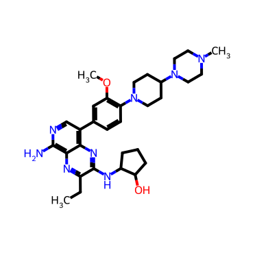 CCc1nc2c(N)ncc(-c3ccc(N4CCC(N5CCN(C)CC5)CC4)c(OC)c3)c2nc1NC1CCCC1O